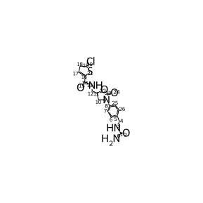 NC(=O)NCc1ccc(N2CC(CNC(=O)C3=CCC(Cl)S3)OC2=O)cc1